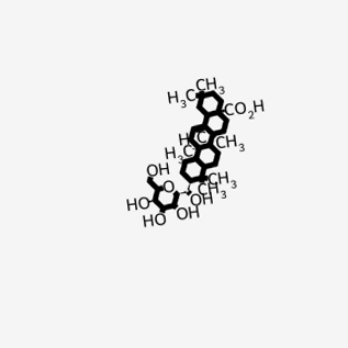 CC1(C)CC[C@]2(C(=O)O)CC[C@]3(C)C(=CCC4[C@@]5(C)CC[C@@H](C(O)[C@H]6OC(CO)[C@@H](O)C(O)C6O)C(C)(C)C5CC[C@]43C)C2C1